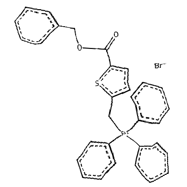 O=C(OCc1ccccc1)c1ccc(C[P+](c2ccccc2)(c2ccccc2)c2ccccc2)s1.[Br-]